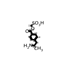 C[C@@H](N)Cc1ccc(C(=O)OCS(=O)(=O)O)cc1